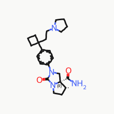 NC(=O)[C@]12[CH]CCN1C(=O)N(c1ccc(C3(CCN4CCCC4)CCC3)cc1)C2